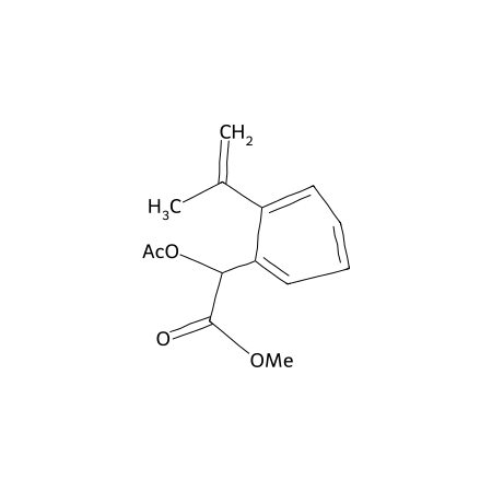 C=C(C)c1ccccc1C(OC(C)=O)C(=O)OC